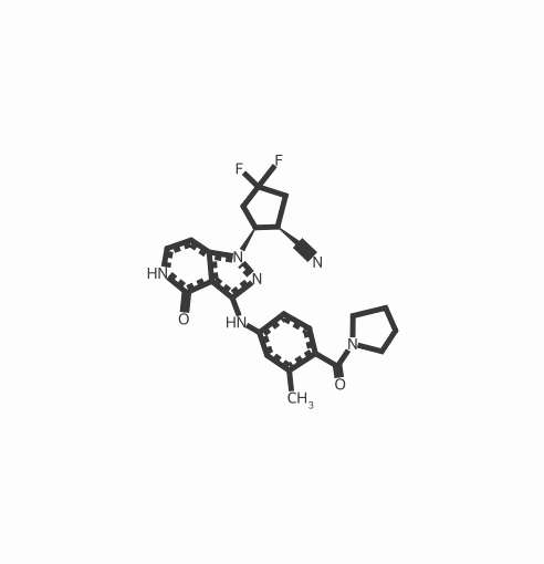 Cc1cc(Nc2nn([C@H]3CC(F)(F)C[C@H]3C#N)c3cc[nH]c(=O)c23)ccc1C(=O)N1CCCC1